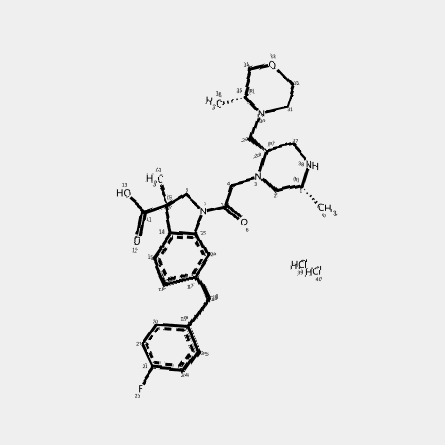 C[C@@H]1CN(CC(=O)N2C[C@@](C)(C(=O)O)c3ccc(Cc4ccc(F)cc4)cc32)[C@@H](CN2CCOC[C@H]2C)CN1.Cl.Cl